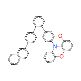 c1ccc2c(c1)Oc1cccc3c1N2c1ccc(-c2ccccc2-c2ccc(-c4ccc5ccccc5c4)cc2)cc1O3